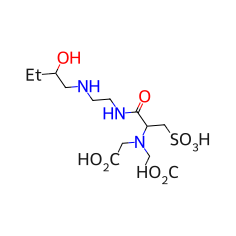 CCC(O)CNCCNC(=O)C(CS(=O)(=O)O)N(CC(=O)O)CC(=O)O